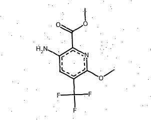 COC(=O)c1nc(OC)c(C(F)(F)F)cc1N